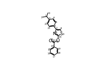 CC(C)c1ccc(-c2csc(OC(=O)c3ccccc3)n2)cc1